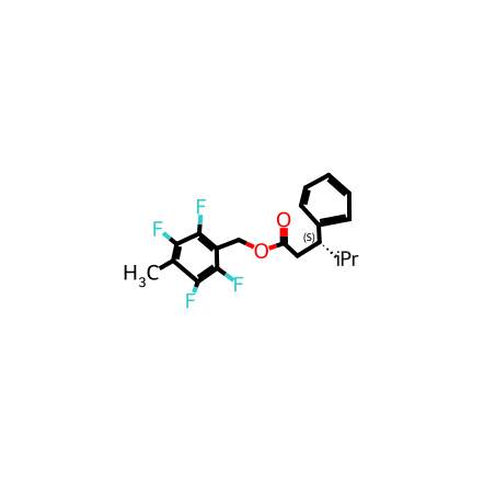 Cc1c(F)c(F)c(COC(=O)C[C@H](c2ccccc2)C(C)C)c(F)c1F